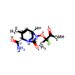 COC(=O)C(C)(F)ON1C(=O)N2C[C@H]1C=C(C)[C@H]2C(N)=O